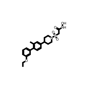 CCOc1cccc(-c2ccc(C3CCN(S(=O)(=O)CC(=O)NO)CC3)cc2C)c1